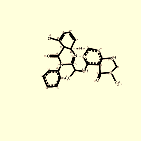 CC(Nc1ncnc2c1C(=O)N(C)CN2)C1=N[C@@H]2C=CC=C(Cl)C2C(=O)N1c1ccccc1